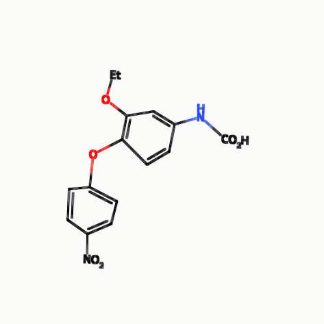 CCOc1cc(NC(=O)O)ccc1Oc1ccc([N+](=O)[O-])cc1